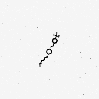 N#C/C=C/C=C/[C@H]1CC[C@H](CCc2ccc(C(F)(F)F)cc2)CC1